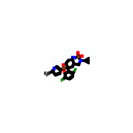 O=S1(=O)NC2CCC(c3cc(F)ccc3F)(S(=O)(=O)c3ccc(C(F)(F)F)nc3)CC2CN1C1CC1